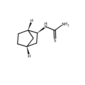 NC(=S)N[C@H]1C[C@@H]2CC[C@H]1C2